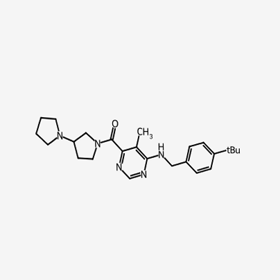 Cc1c(NCc2ccc(C(C)(C)C)cc2)ncnc1C(=O)N1CCC(N2CCCC2)C1